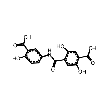 O=C(O)c1cc(NC(=O)c2cc(O)c(C(=O)O)cc2O)ccc1O